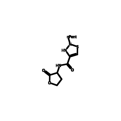 CCCCCN1NC(C(=O)NC2CCOC2=O)=CS1